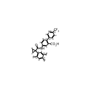 O=C(O)c1cc(NC(=O)C2(c3cc(F)c(F)cc3F)CC2)ccc1-c1ccc(C(F)(F)F)nc1